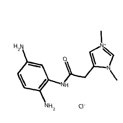 Cn1c[n+](C)cc1CC(=O)Nc1cc(N)ccc1N.[Cl-]